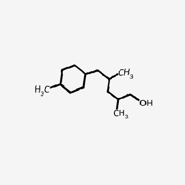 CC1CCC(CC(C)CC(C)CO)CC1